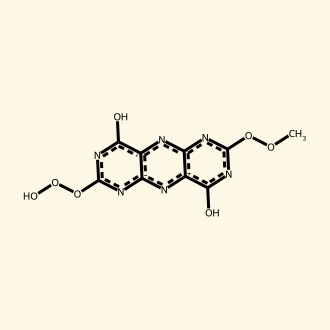 COOc1nc(O)c2nc3nc(OOO)nc(O)c3nc2n1